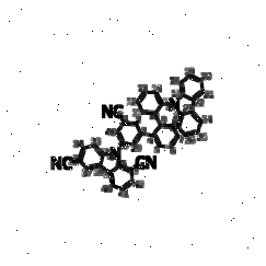 N#Cc1cc(-c2ccccc2-c2ccccc2-n2c3ccccc3c3ccccc32)cc(-n2c3ccc(C#N)cc3c3cccc(C#N)c32)c1